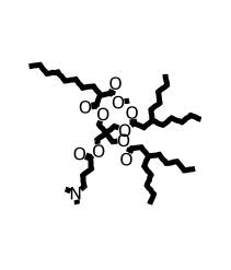 CCCCCCCCC(C(=O)OC)C(=O)OCC(COC(=O)CCCN(C)C)(COC(=O)CC(CCCCC)CCCCC)COC(=O)CC(CCCCC)CCCCC